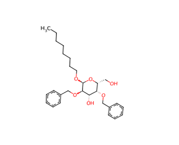 CCCCCCCCO[C@H]1O[C@H](CO)[C@H](OCc2ccccc2)[C@H](O)[C@H]1OCc1ccccc1